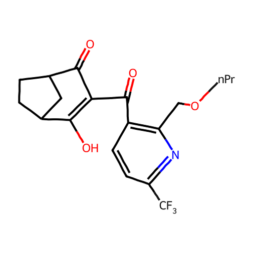 CCCOCc1nc(C(F)(F)F)ccc1C(=O)C1=C(O)C2CCC(C2)C1=O